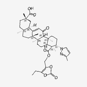 CCc1oc(=O)oc1COC(=O)[C@]1(C)[C@@H](n2ccc(C)n2)CC[C@@]2(C)[C@H]1CC[C@]1(C)[C@@H]2C(=O)C=C2[C@@H]3C[C@@](C)(C(=O)O)CC[C@]3(C)CC[C@]21C